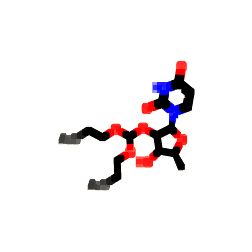 CC(=O)OCCOC(OCCOC(C)=O)OC1C(O)[C@H](C)O[C@@H]1n1ccc(=O)[nH]c1=O